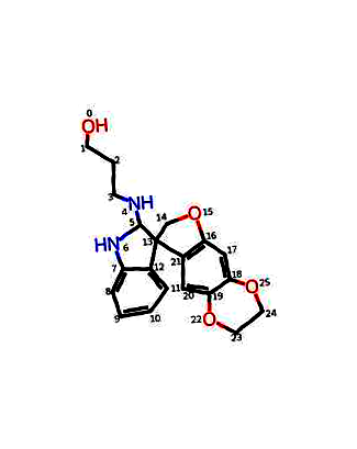 OCCCNC1Nc2ccccc2C12COc1cc3c(cc12)OCCO3